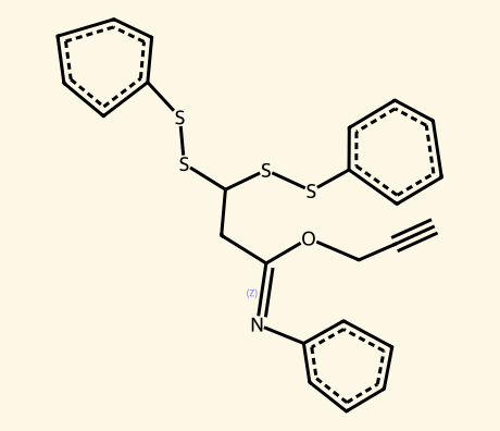 C#CCO/C(CC(SSc1ccccc1)SSc1ccccc1)=N\c1ccccc1